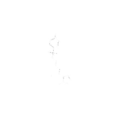 Cc1[nH]cnc1C(O)CCCNC(C)(C)c1ccc(Cl)cc1